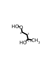 C[C](O)CCOO